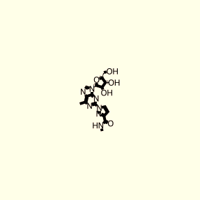 CNC(=O)c1ccn(-c2nc(C)c3ncn([C@@H]4O[C@H](CO)[C@H](O)C4O)c3n2)n1